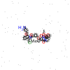 C=CCOC(=O)N1c2cc(OCc3cccc(CC(=O)N4C[C@@H](CCl)c5c4cc(OCc4ccc(N)cc4)c4ccccc54)c3)c(OC)cc2C(=O)N2CCCC[C@H]2C1OC1CCCCO1